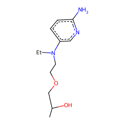 CCN(CCOCC(C)O)c1ccc(N)nc1